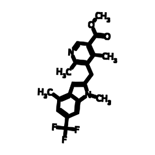 COC(=O)c1cnc(C)c(Cc2cc3c(C)cc(C(F)(F)F)cc3n2C)c1C